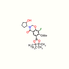 COc1c(B2OC(C)(C)C(C)(C)O2)cc2c(c1F)OCN([C@@H]1CCC[C@H]1O)C2=O